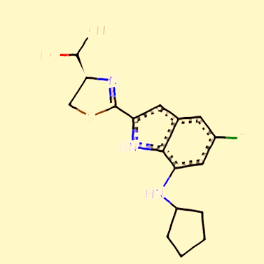 CC(O)[C@@H]1CSC(c2cc3cc(F)cc(NC4CCCC4)c3[nH]2)=N1